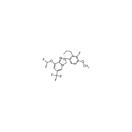 COc1ccc2c(c1F)CCC[C@@]21CN2C=C(C(F)(F)F)C=C(OC(F)F)C2=N1